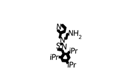 CC(C)c1cc(C(C)C)c(-c2csc(N(CCN)Cc3cccnc3)n2)c(C(C)C)c1